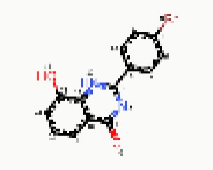 O=c1nc(-c2ccc(Br)cc2)[nH]c2c(O)cccc12